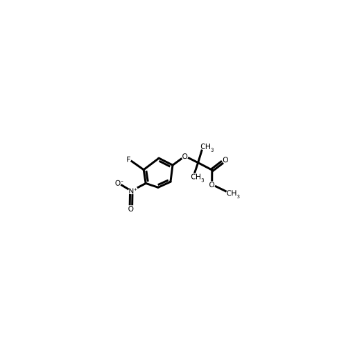 COC(=O)C(C)(C)Oc1ccc([N+](=O)[O-])c(F)c1